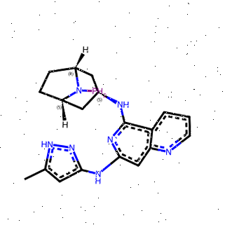 Cc1cc(Nc2cc3ncccc3c(N[C@@H]3C[C@H]4CC[C@@H](C3)N4P)n2)n[nH]1